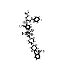 COC1(Cc2ccccc2Cl)CCC(N2CCN(/C(=N/C#N)NS(=O)(=O)c3ccc(N[C@H](CCN(C)C)CSc4ccccc4)c(N=O)c3)CC2)CC1